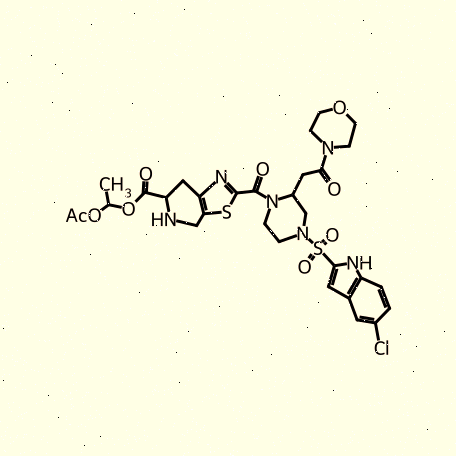 CC(=O)OC(C)OC(=O)C1Cc2nc(C(=O)N3CCN(S(=O)(=O)c4cc5cc(Cl)ccc5[nH]4)CC3CC(=O)N3CCOCC3)sc2CN1